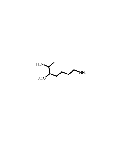 CC(=O)OC(CCCCN)C(C)N